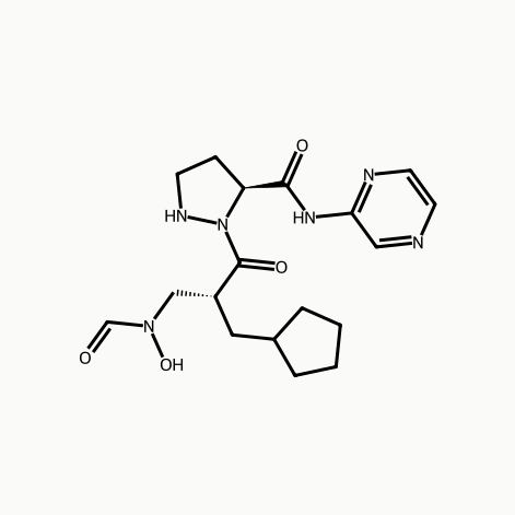 O=CN(O)C[C@@H](CC1CCCC1)C(=O)N1NCC[C@H]1C(=O)Nc1cnccn1